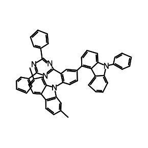 Cc1ccc2c3ccc(C)cc3n(-c3ccc(-c4cccc5c4c4ccccc4n5-c4ccccc4)cc3-c3nc(-c4ccccc4)nc(-c4ccccc4)n3)c2c1